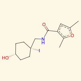 Cc1cc(C(=O)NC[C@]2(I)CC[C@@H](O)CC2)c(C)o1